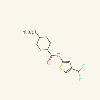 CCCCCCCC1CCC(C(=O)Oc2cc(C(F)F)cs2)CC1